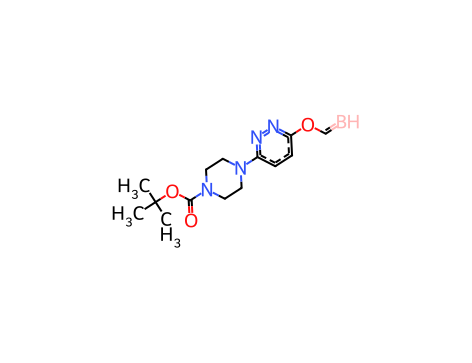 B=COc1ccc(N2CCN(C(=O)OC(C)(C)C)CC2)nn1